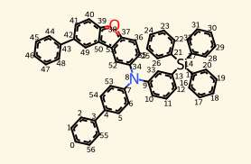 c1ccc(-c2ccc(N(c3cccc([Si](c4ccccc4)(c4ccccc4)c4ccccc4)c3)c3ccc4oc5ccc(-c6ccccc6)cc5c4c3)cc2)cc1